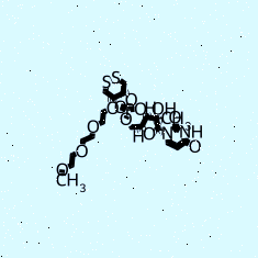 COCCOCCOCCO[C@H]1CSSC[C@@H]1OP1(=O)OC[C@H]2O[C@@H](n3ccc(=O)[nH]c3=O)[C@](C)(O)[C@@H]2O1